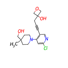 CC1(CO)CCN(c2cc(Cl)ncc2C#CCC2(O)COC2)CC1